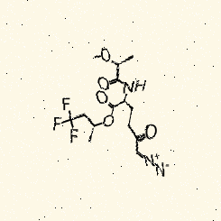 CO[C@@H](C)C(=O)N[C@@H](CCC(=O)C=[N+]=[N-])C(=O)O[C@@H](C)CC(F)(F)F